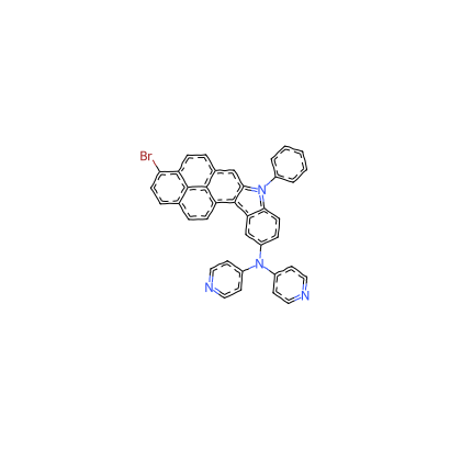 Brc1ccc2ccc3c4c(ccc1c24)cc1c3c2cc(N(c3ccncc3)c3ccncc3)ccc2n1-c1ccccc1